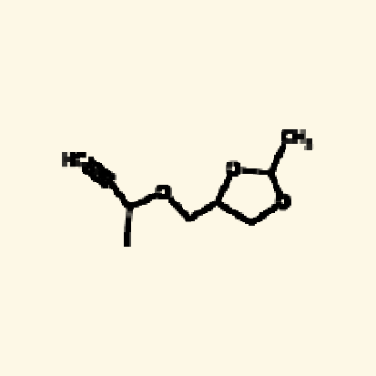 C#CC(I)OCC1COC(C)O1